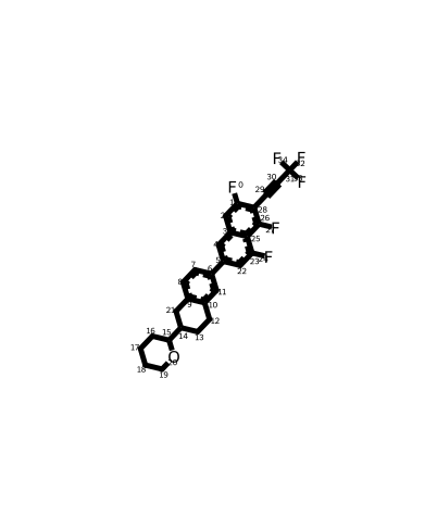 Fc1cc2cc(-c3ccc4c(c3)CCC(C3CCCCO3)C4)cc(F)c2c(F)c1C#CC(F)(F)F